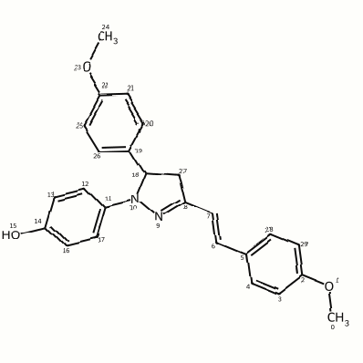 COc1ccc(C=CC2=NN(c3ccc(O)cc3)C(c3ccc(OC)cc3)C2)cc1